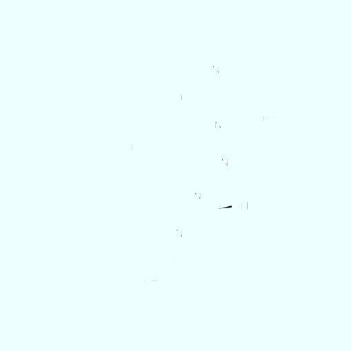 C=CC(=O)N1CCN(c2nc(=O)n(-c3c(C(C)C)ccnc3C(C)C)c3cc(-c4ccccc4C=C)c(F)cc23)[C@@H](C)C1